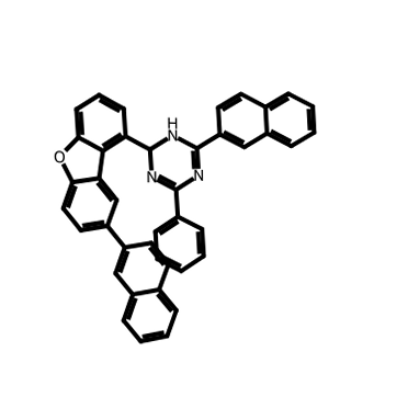 c1ccc(C2=NC(c3cccc4oc5ccc(-c6ccc7ccccc7c6)cc5c34)NC(c3ccc4ccccc4c3)=N2)cc1